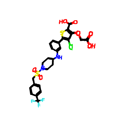 O=C(O)COc1c(C(=O)O)sc(-c2cccc(NC3CCN(S(=O)(=O)Cc4ccc(C(F)(F)F)cc4)CC3)c2)c1Cl